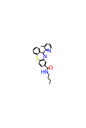 CCCCNC(=O)c1ccc2c(c1)N=C(c1ncccc1C)c1ccccc1S2